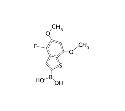 COc1cc(OC)c2sc(B(O)O)cc2c1F